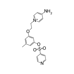 Cc1cc(OCC[n+]2ccc(N)cc2)cc(OS(=O)(=O)c2ccncc2)c1